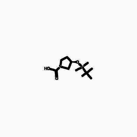 CC(C)(C)[Si](C)(C)O[C@@H]1CCN(C(=O)O)C1